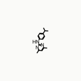 Cc1cc(C)nc(Nc2ccc(C(C)C)cc2)n1